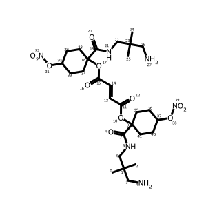 CC(C)(CN)CNC(=O)C1(OC(=O)/C=C/C(=O)OC2(C(=O)NCC(C)(C)CN)CCC(O[N+](=O)[O-])CC2)CCC(O[N+](=O)[O-])CC1